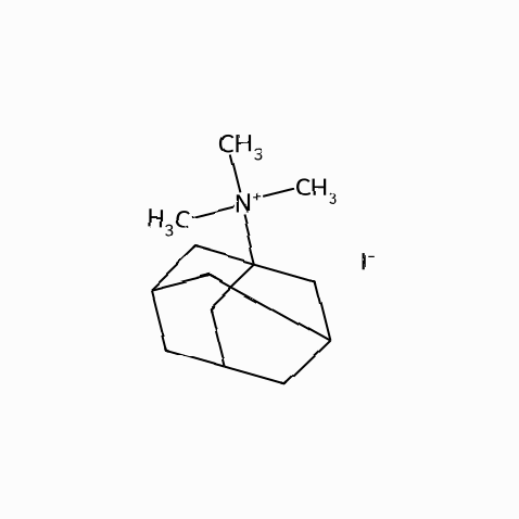 C[N+](C)(C)C12CC3CC(CC(C3)C1)C2.[I-]